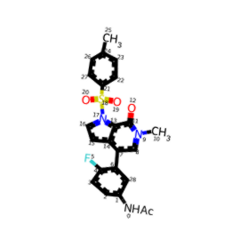 CC(=O)Nc1ccc(F)c(-c2cn(C)c(=O)c3c2ccn3S(=O)(=O)c2ccc(C)cc2)c1